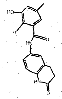 CCc1c(O)cc(C)cc1C(=O)Nc1ccc2c(c1)CCC(=O)N2